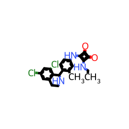 CCNc1c(Nc2ccc(C3NCCc4cc(Cl)cc(Cl)c43)c(C)c2)c(=O)c1=O